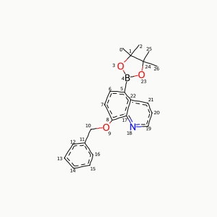 CC1(C)OB(c2ccc(OCc3ccccc3)c3ncccc23)OC1(C)C